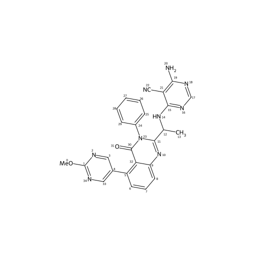 COc1ncc(-c2cccc3nc(C(C)Nc4ncnc(N)c4C#N)n(-c4ccccc4)c(=O)c23)cn1